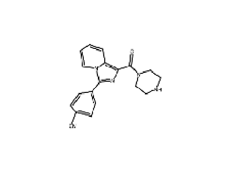 N#Cc1ccc(-c2nc(C(=O)N3CCNCC3)c3ccccn23)cc1